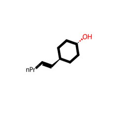 CCCC=C[C@H]1CC[C@H](O)CC1